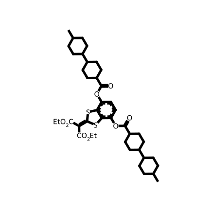 CCOC(=O)C(C(=O)OCC)=C1Sc2c(OC(=O)C3CCC(C4CCC(C)CC4)CC3)ccc(OC(=O)C3CCC(C4CCC(C)CC4)CC3)c2S1